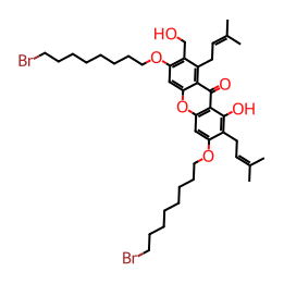 CC(C)=CCc1c(OCCCCCCCCBr)cc2oc3cc(OCCCCCCCCBr)c(CO)c(CC=C(C)C)c3c(=O)c2c1O